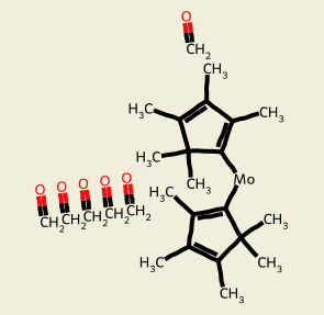 C=O.C=O.C=O.C=O.C=O.C=O.CC1=C(C)C(C)(C)[C]([Mo][C]2=C(C)C(C)=C(C)C2(C)C)=C1C